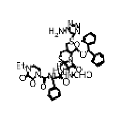 CCN1CCN(C(=O)NC(C(=O)N[C@]2(NC=O)C(=O)N3C(C(=O)OC(c4ccccc4)c4ccccc4)=C(CSc4nnnn4N)CS[C@@H]32)c2ccccc2)C(=O)C1=O